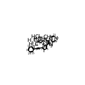 CN(c1c(-c2ccc(C#Cc3ccccc3)s2)nc2cnccn12)C(C)(C)CC(C)(C)C.Cl